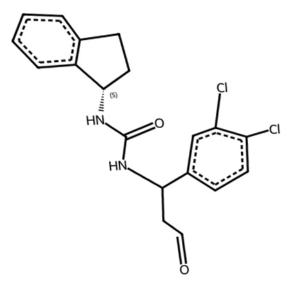 O=CCC(NC(=O)N[C@H]1CCc2ccccc21)c1ccc(Cl)c(Cl)c1